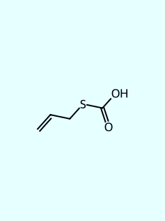 C=CCSC(=O)O